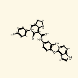 O=C(Nc1ccc(Oc2ncnc3[nH]cnc23)c(F)c1)c1c2c(cn(-c3ccc(F)cc3)c1=O)CCO2